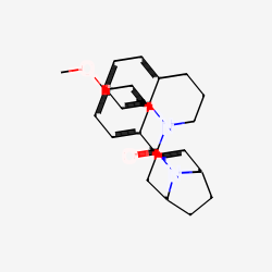 COc1ccc(C2=CC3CCC(C2)N3C(=O)N2CCCc3ccccc32)cc1